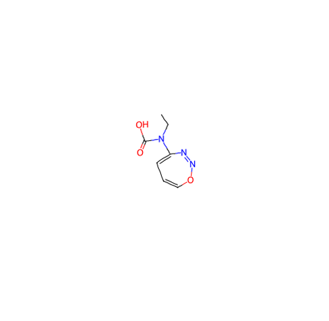 CCN(C(=O)O)C1=CC=CON=N1